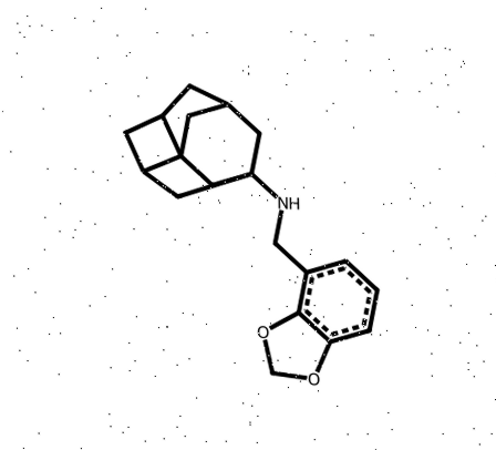 c1cc(CNC23CC4CC5CC(C2)C5(C4)C3)c2c(c1)OCO2